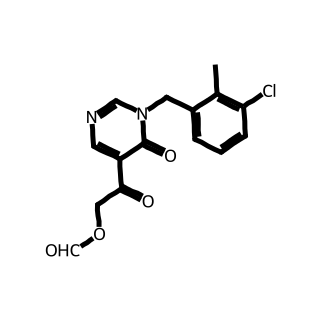 Cc1c(Cl)cccc1Cn1cncc(C(=O)COC=O)c1=O